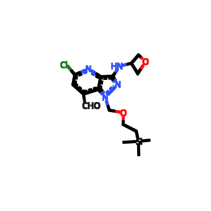 C[Si](C)(C)CCOCn1nc(NC2COC2)c2nc(Cl)cc(C=O)c21